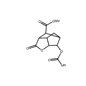 CCCC(=O)OC1C2CC3C1OC(=O)C3C2C(=O)OC